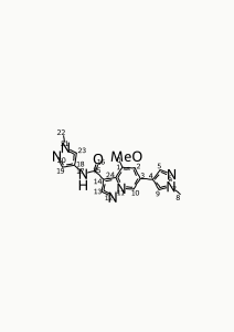 COc1cc(-c2cnn(C)c2)cn2ncc(C(=O)Nc3cnn(C)c3)c12